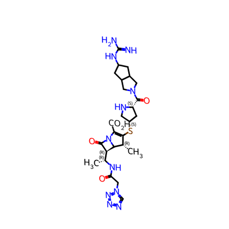 C[C@H]1C(S[C@@H]2CN[C@H](C(=O)N3CC4CC(NC(=N)N)CC4C3)C2)=C(C(=O)O)N2C(=O)[C@H]([C@@H](C)NC(=O)Cn3cnnn3)C12